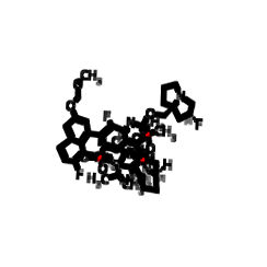 COCOc1cc(-c2c([N+](=O)[O-])cc3c(N4C[C@H]5CC[C@@H](C4)N5C(=O)OC(C)(C)C)nc(OC[C@@]45CCCN4C[C@H](F)C5)nc3c2F)c2c(C#C[Si](C(C)C)(C(C)C)C(C)C)c(F)ccc2c1